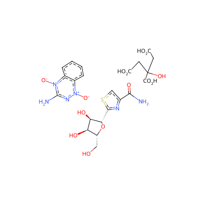 NC(=O)c1csc([C@@H]2O[C@H](CO)[C@@H](O)[C@H]2O)n1.Nc1n[n+]([O-])c2ccccc2[n+]1[O-].O=C(O)CC(O)(CC(=O)O)C(=O)O